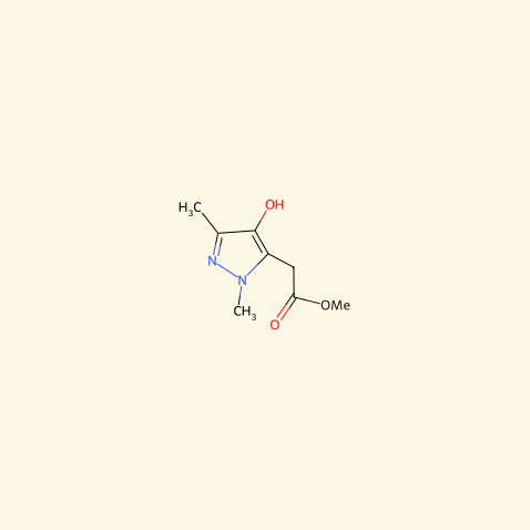 COC(=O)Cc1c(O)c(C)nn1C